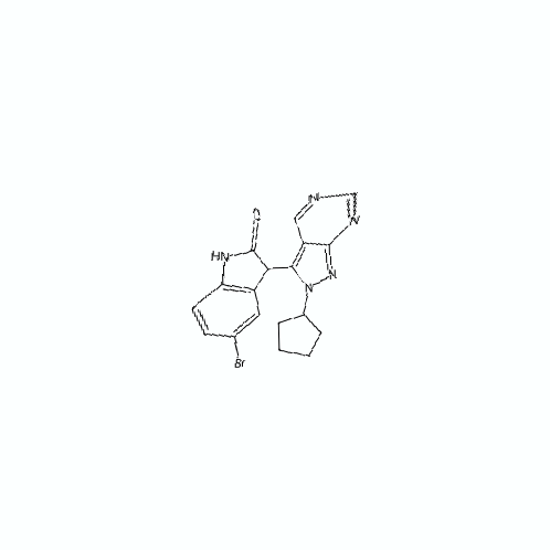 O=C1Nc2ccc(Br)cc2C1c1c2cncnc2nn1C1CCCC1